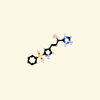 O=S(=O)(c1ccccc1)c1cc(C=CC(O)c2nc[nH]n2)c[nH]1